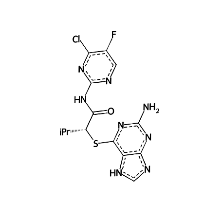 CC(C)[C@@H](Sc1nc(N)nc2nc[nH]c12)C(=O)Nc1ncc(F)c(Cl)n1